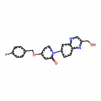 O=c1cc(OCc2ccc(F)cc2)ccn1-c1ccc2nc(CO)cnc2c1